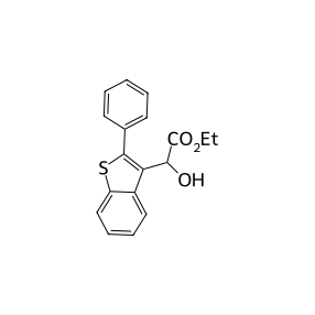 CCOC(=O)C(O)c1c(-c2ccccc2)sc2ccccc12